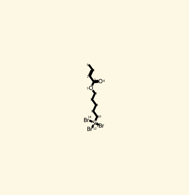 CC=CC(=O)OCCCCC[Si](Br)(Br)Br